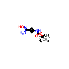 CC(C)(C)OC(=O)NC12CC(/C(N)=N/O)(C1)C2